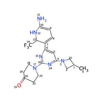 CC1CN(c2cc(C3=CC=C(N)NC3C(F)(F)F)nc(N3CCC(=O)CC3)n2)C1